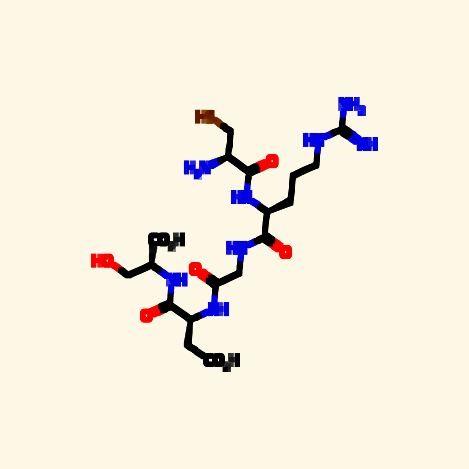 N=C(N)NCCC[C@H](NC(=O)[C@@H](N)CS)C(=O)NCC(=O)N[C@@H](CC(=O)O)C(=O)N[C@@H](CO)C(=O)O